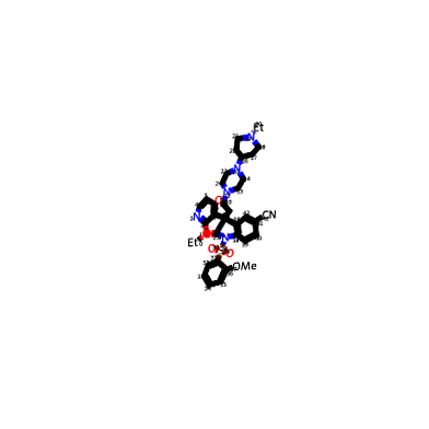 CCOc1ncccc1C1(CC(=O)N2CCN(C3CCN(CC)CC3)CC2)C(=O)N(S(=O)(=O)c2ccccc2OC)c2ccc(C#N)cc21